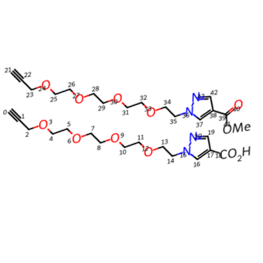 C#CCOCCOCCOCCOCCn1cc(C(=O)O)cn1.C#CCOCCOCCOCCOCCn1cc(C(=O)OC)cn1